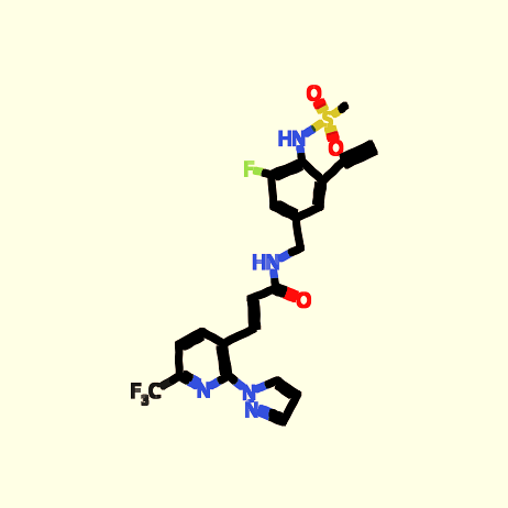 C#Cc1cc(CNC(=O)C=Cc2ccc(C(F)(F)F)nc2-n2cccn2)cc(F)c1NS(C)(=O)=O